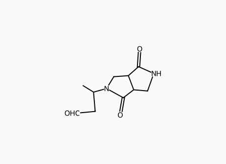 CC(CC=O)N1CC2C(=O)NCC2C1=O